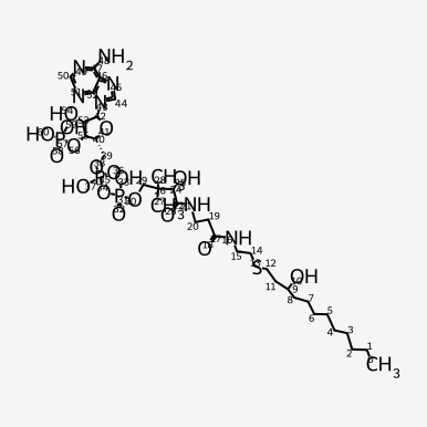 CCCCCCCCCC(O)CCSCCNC(=O)CCNC(=O)C(O)C(C)(C)COP(=O)(O)OP(=O)(O)OC[C@H]1O[C@H](n2cnc3c(N)ncnc32)[C@H](O)[C@@H]1OP(=O)(O)O